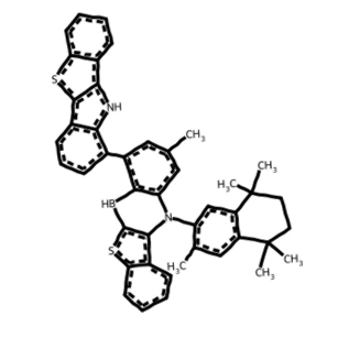 Cc1cc(-c2cccc3c2[nH]c2c4ccccc4sc32)c2c(c1)N(c1cc3c(cc1C)C(C)(C)CCC3(C)C)c1c(sc3ccccc13)B2